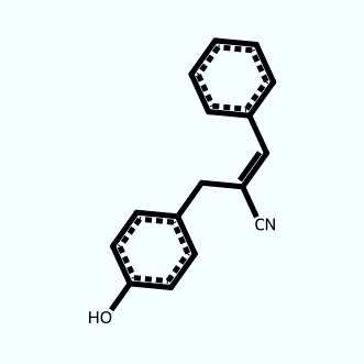 N#CC(=Cc1ccccc1)Cc1ccc(O)cc1